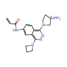 C=CC(=O)Nc1ccc2c(N3CC[C@@H](N)C3)nnc(N3CCC3)c2c1